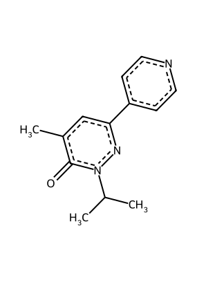 Cc1cc(-c2ccncc2)nn(C(C)C)c1=O